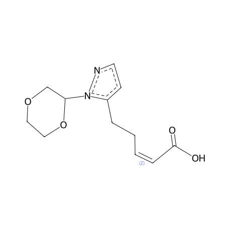 O=C(O)/C=C\CCc1ccnn1C1COCCO1